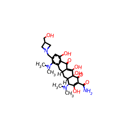 CN(C)c1c(CN2CC(CO)C2)cc(O)c2c1C[C@H]1C[C@H]3[C@H](N(C)C)C(O)=C(C(N)=O)C(=O)[C@@]3(O)C(O)=C1C2=O